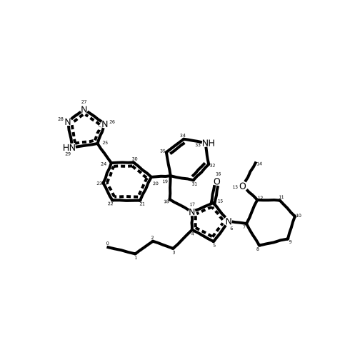 CCCCc1cn(C2CCCCC2OC)c(=O)n1CC1(c2cccc(-c3nnn[nH]3)c2)C=CNC=C1